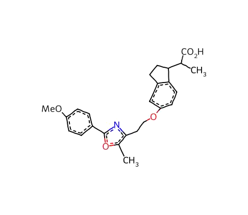 COc1ccc(-c2nc(CCOc3ccc4c(c3)CCC4C(C)C(=O)O)c(C)o2)cc1